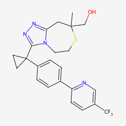 CC1(CO)Cc2nnc(C3(c4ccc(-c5ccc(C(F)(F)F)cn5)cc4)CC3)n2CCS1